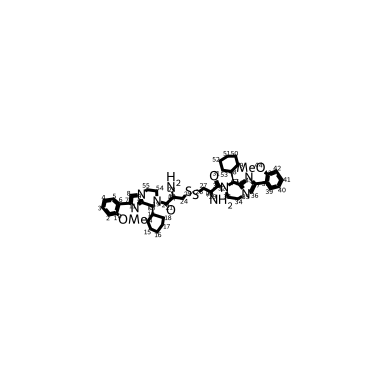 COc1ccccc1-c1cn2c(n1)[C@H](C1CCCCC1)N(C(=O)[C@@H](N)CSSC[C@H](N)C(=O)N1CCn3cc(-c4ccccc4OC)nc3[C@@H]1C1CCCCC1)CC2